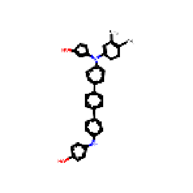 CC1=C(C)CCC(N(C2=C=C(O)C=C2)c2ccc(-c3ccc(-c4ccc(Nc5ccc(O)cc5)cc4)cc3)cc2)=C1